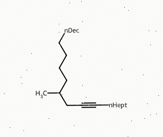 [CH2]CCCCCCC#CCC(C)CCCCCCCCCCCCC[CH2]